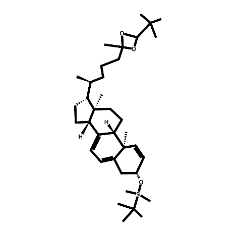 C[C@@H](CCCC1(C)OC(C(C)(C)C)O1)[C@H]1CC[C@H]2C3=CC=C4C[C@@H](O[Si](C)(C)C(C)(C)C)C=C[C@]4(C)[C@H]3CC[C@]12C